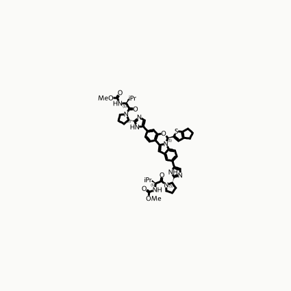 COC(=O)N[C@H](C(=O)N1CCC[C@H]1c1ncc(-c2ccc3c(c2)O[C@@H](c2cc4c(s2)CCC4)n2c-3cc3cc(-c4cnc([C@@H]5CCCN5C(=O)[C@@H](NC(=O)OC)C(C)C)[nH]4)ccc32)[nH]1)C(C)C